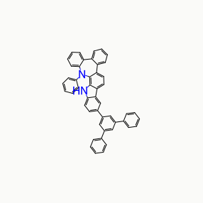 c1ccc(-c2cc(-c3ccccc3)cc(-c3ccc4[nH]c5c6c(ccc5c4c3)-c3ccccc3-c3ccccc3N6c3ccccc3)c2)cc1